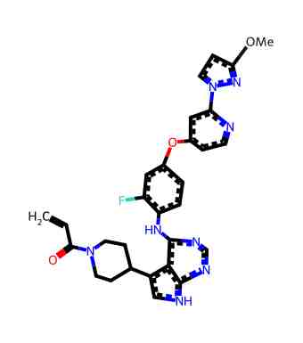 C=CC(=O)N1CCC(c2c[nH]c3ncnc(Nc4ccc(Oc5ccnc(-n6ccc(OC)n6)c5)cc4F)c23)CC1